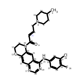 CC1CCN(C/C=C/C(=O)N2CCOc3cc4ncnc(Nc5ccc(F)c(Cl)c5)c4cc32)CC1